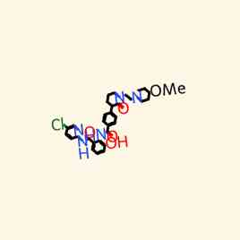 COC1CCN(CCN2CCCC(c3ccc(C(=O)Nc4c(O)cccc4C(=O)Nc4ccc(Cl)cn4)cc3)C2=O)CC1